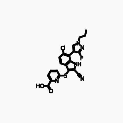 CCCn1cc(-c2c(Cl)ccc3c(Sc4cccc(C(=O)O)n4)c(C#N)[nH]c23)c(F)n1